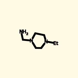 CCN1CCN(CN)CC1